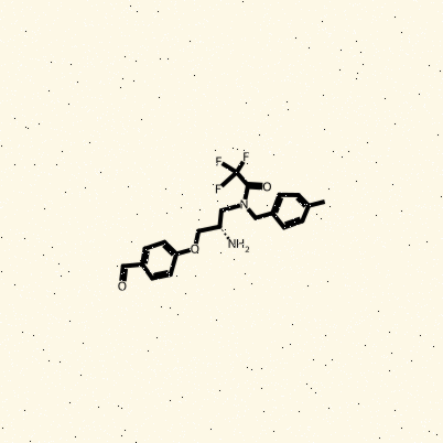 Cc1ccc(CN(C[C@H](N)COc2ccc(C=O)cc2)C(=O)C(F)(F)F)cc1